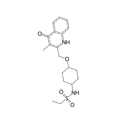 CCS(=O)(=O)NC1CCC(OCc2[nH]c3ccccc3c(=O)c2C)CC1